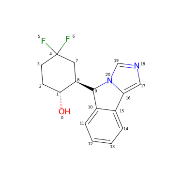 O[C@@H]1CCC(F)(F)C[C@H]1C1c2ccccc2-c2cncn21